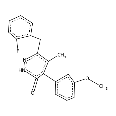 COc1cccc(-c2c(C)c(Cc3ccccc3F)n[nH]c2=O)c1